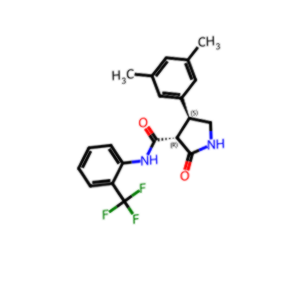 Cc1cc(C)cc([C@H]2CNC(=O)[C@@H]2C(=O)Nc2ccccc2C(F)(F)F)c1